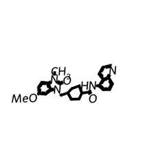 COc1ccc2c(c1)n(CC1CCC(C(=O)Nc3cccc4ncccc34)CC1)c(=O)n2C